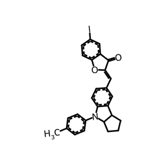 Cc1ccc(N2c3ccc(/C=C4\Oc5ccc(I)cc5C4=O)cc3C3CCCC32)cc1